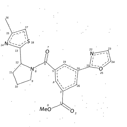 COC(=O)c1cc(C(=O)N2CCCC2c2nc(C)cs2)cc(-c2ncco2)c1